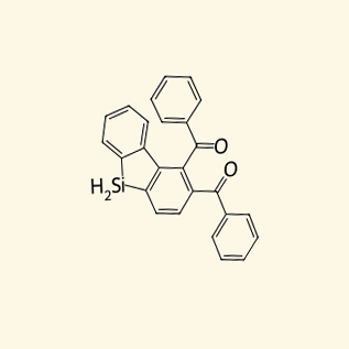 O=C(c1ccccc1)c1ccc2c(c1C(=O)c1ccccc1)-c1ccccc1[SiH2]2